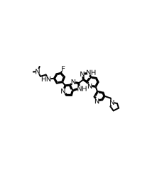 CN(C)CCNc1cc(F)cc(-c2nccc3[nH]c(-c4n[nH]c5ccc(-c6cncc(CN7CCCC7)c6)nc45)nc23)c1